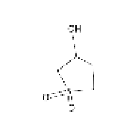 O=S1(=O)CCC(O)C1